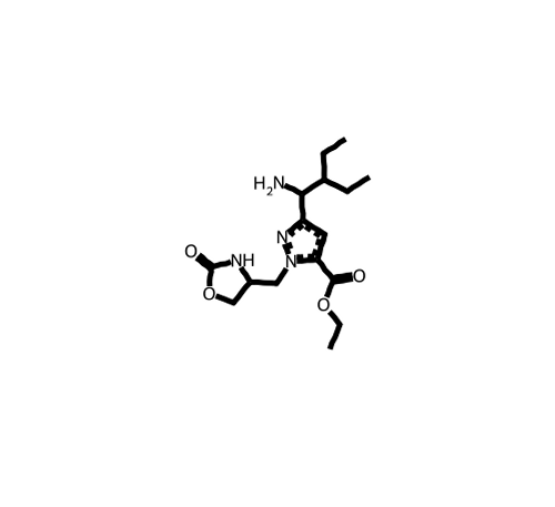 CCOC(=O)c1cc(C(N)C(CC)CC)nn1CC1COC(=O)N1